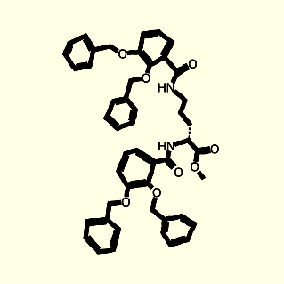 COC(=O)[C@@H](CCCNC(=O)c1cccc(OCc2ccccc2)c1OCc1ccccc1)NC(=O)c1cccc(OCc2ccccc2)c1OCc1ccccc1